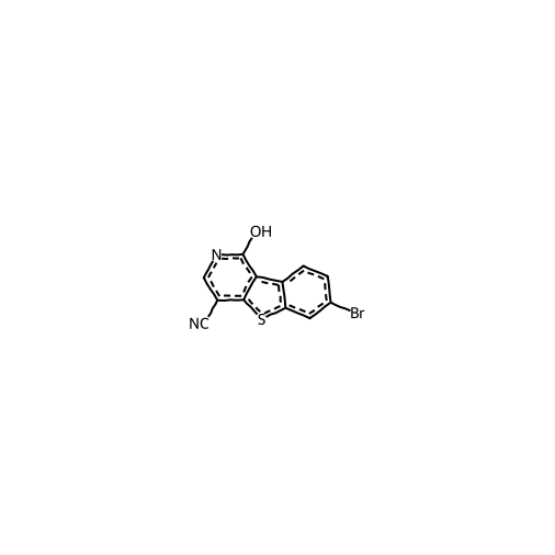 N#Cc1cnc(O)c2c1sc1cc(Br)ccc12